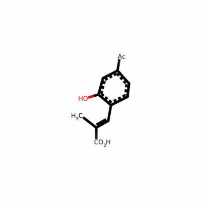 CC(=O)c1ccc(/C=C(\C)C(=O)O)c(O)c1